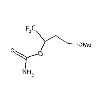 COCCC(OC(N)=O)C(F)(F)F